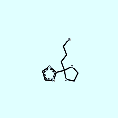 BrCCCC1(c2ncco2)OCCO1